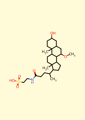 COC1CC2CC(O)CCC2(C)C2CCC3(C)C(C(C)CCC(=O)NCCS(=O)(=O)O)CCC3C12